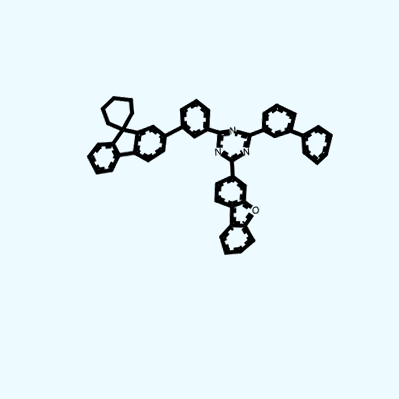 c1ccc(-c2cccc(-c3nc(-c4cccc(-c5ccc6c(c5)C5(CCCCC5)c5ccccc5-6)c4)nc(-c4ccc5c(c4)oc4ccccc45)n3)c2)cc1